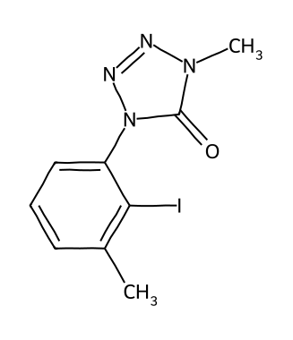 Cc1cccc(-n2nnn(C)c2=O)c1I